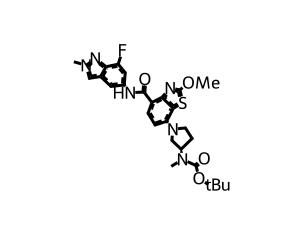 COc1nc2c(C(=O)Nc3cc(F)c4nn(C)cc4c3)ccc(N3CC[C@@H](N(C)C(=O)OC(C)(C)C)C3)c2s1